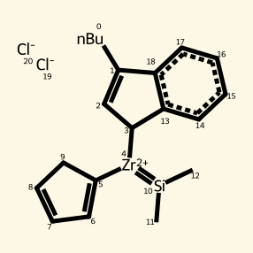 CCCCC1=C[CH]([Zr+2]([C]2=CC=CC2)=[Si](C)C)c2ccccc21.[Cl-].[Cl-]